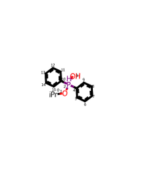 CC(C)O[PH](O)(c1ccccc1)c1ccccc1